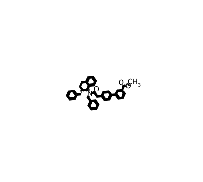 COC(=O)c1cccc(-c2ccc(CC(=O)N(Cc3ccccc3)[C@@H]3c4ccccc4CC[C@H]3Cc3ccccc3)cc2)c1